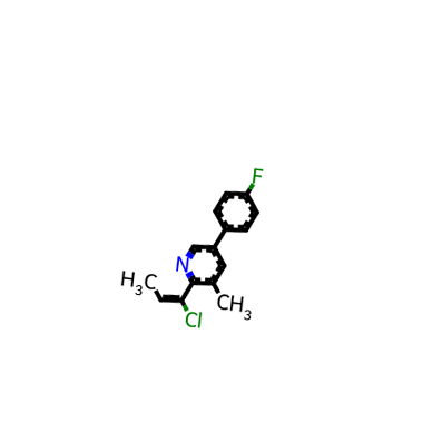 C/C=C(/Cl)c1ncc(-c2ccc(F)cc2)cc1C